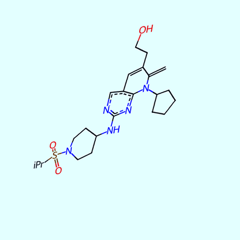 C=C1C(CCO)=Cc2cnc(NC3CCN(S(=O)(=O)C(C)C)CC3)nc2N1C1CCCC1